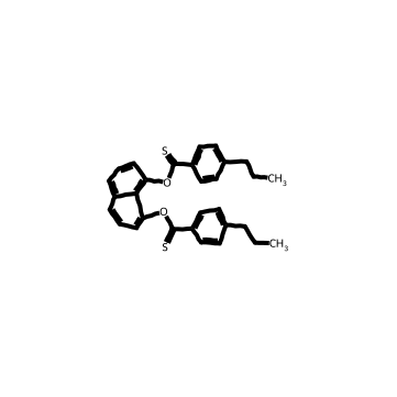 CCCc1ccc(C(=S)Oc2cccc3cccc(OC(=S)c4ccc(CCC)cc4)c23)cc1